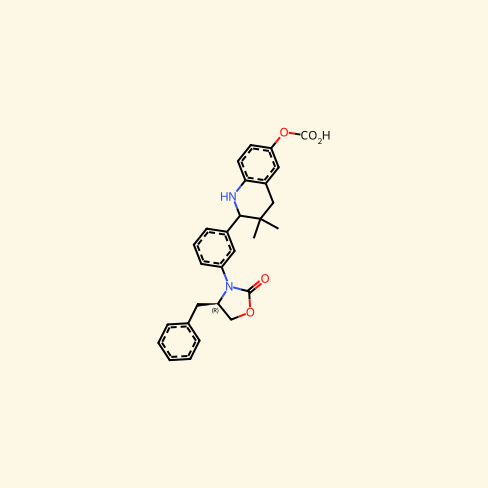 CC1(C)Cc2cc(OC(=O)O)ccc2NC1c1cccc(N2C(=O)OC[C@H]2Cc2ccccc2)c1